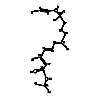 CC#COC(C)(C)CCCC(C)CC=CC(C)=CC(=O)OC(C)C